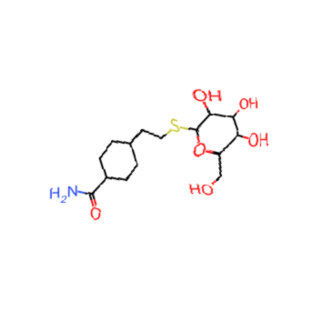 NC(=O)C1CCC(CCSC2OC(CO)C(O)C(O)C2O)CC1